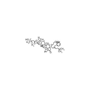 COCCO[C@@H](CN(CCN(C)C)Cc1ccccn1)[C@@]12CC[C@]3(C)[C@H](CC[C@@H]4[C@@]5(C)CC[C@H](OC(=O)CC(C)(C)C(=O)O)C(C)(C)C5CC[C@]43C)C1=C(C(C)C)C(=O)C2